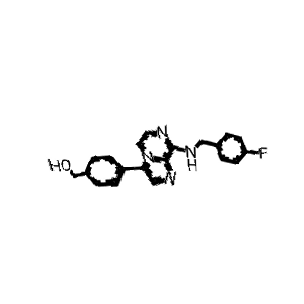 OCc1ccc(-c2cnc3c(NCc4ccc(F)cc4)nccn23)cc1